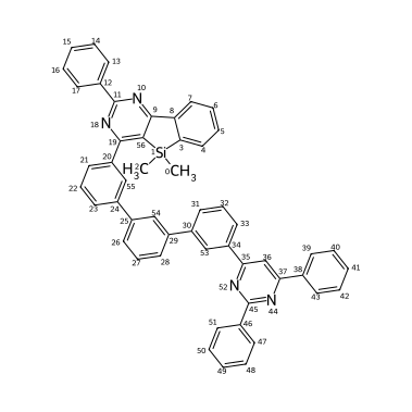 C[Si]1(C)c2ccccc2-c2nc(-c3ccccc3)nc(-c3cccc(-c4cccc(-c5cccc(-c6cc(-c7ccccc7)nc(-c7ccccc7)n6)c5)c4)c3)c21